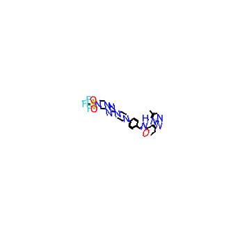 CCc1nc2ncc(C)cn2c1C(=O)NCc1ccc(N2CCN(c3nc4n(n3)CCN(S(=O)(=O)C(F)(F)F)C4)CC2)cc1